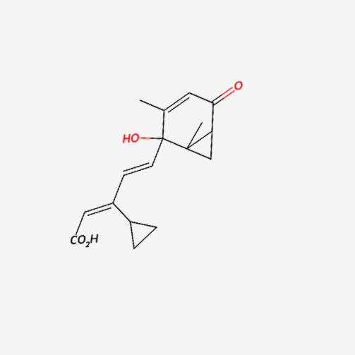 CC1=CC(=O)C2CC2(C)C1(O)C=CC(=CC(=O)O)C1CC1